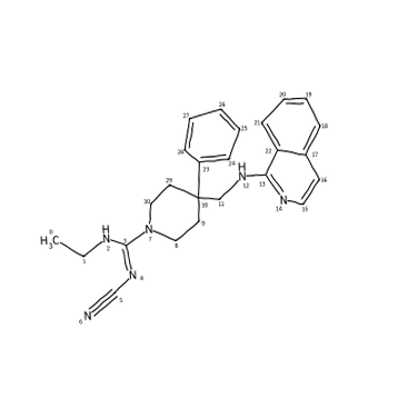 CCN/C(=N\C#N)N1CCC(CNc2nccc3ccccc23)(c2ccccc2)CC1